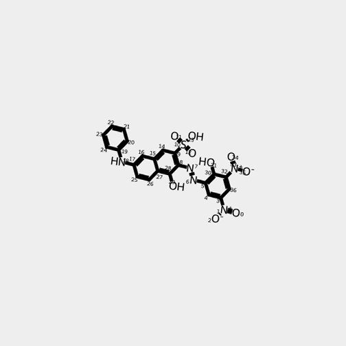 O=[N+]([O-])c1cc(N=Nc2c(S(=O)(=O)O)cc3cc(Nc4ccccc4)ccc3c2O)c(O)c([N+](=O)[O-])c1